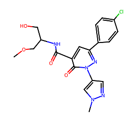 COCC(CO)NC(=O)c1cc(-c2ccc(Cl)cc2)nn(-c2cnn(C)c2)c1=O